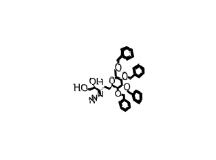 [N-]=[N+]=N[C@@H](CC[C@H]1OC(COCc2ccccc2)[C@H](OCc2ccccc2)[C@H](OCc2ccccc2)C1OCc1ccccc1)[C@H](O)CO